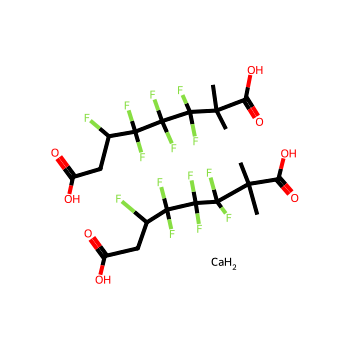 CC(C)(C(=O)O)C(F)(F)C(F)(F)C(F)(F)C(F)CC(=O)O.CC(C)(C(=O)O)C(F)(F)C(F)(F)C(F)(F)C(F)CC(=O)O.[CaH2]